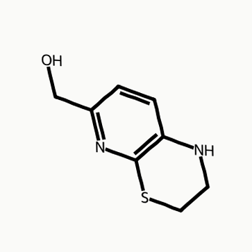 OCc1ccc2c(n1)SCCN2